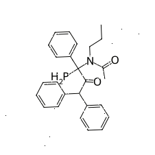 CCCN(C(C)=O)C(P)(C(=O)C(c1ccccc1)c1ccccc1)c1ccccc1